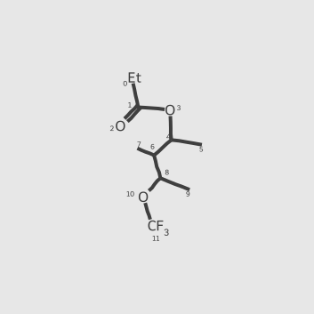 CCC(=O)OC(C)C(C)C(C)OC(F)(F)F